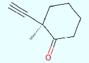 C#C[C@@]1(C)CCCCC1=O